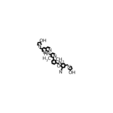 Cc1c(-c2nc3cc(CN4CC[C@@H](O)C4)cc(C#N)c3o2)cccc1-c1nccc(Nc2nccc3cc(CN4CC[C@@H](O)C4)cnc23)c1C